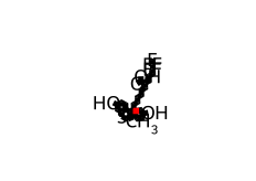 CC1(c2ccc(O)cc2)CSc2cc(O)ccc2C1CCCCCCCC(CCCC(F)(F)C(F)(F)F)C(=O)O